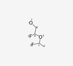 CC(F)OC(F)C[O]